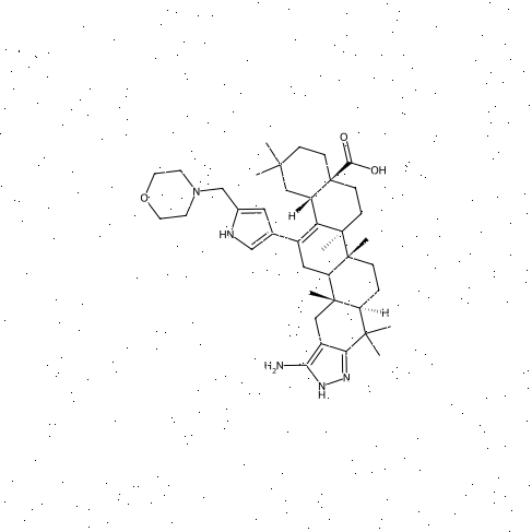 CC1(C)CC[C@]2(C(=O)O)CC[C@]3(C)C(=C(c4c[nH]c(CN5CCOCC5)c4)CC4[C@@]5(C)Cc6c(n[nH]c6N)C(C)(C)[C@@H]5CC[C@]43C)[C@@H]2C1